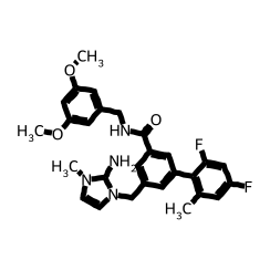 COc1cc(CNC(=O)c2cc(CN3C=CN(C)C3N)cc(-c3c(C)cc(F)cc3F)c2)cc(OC)c1